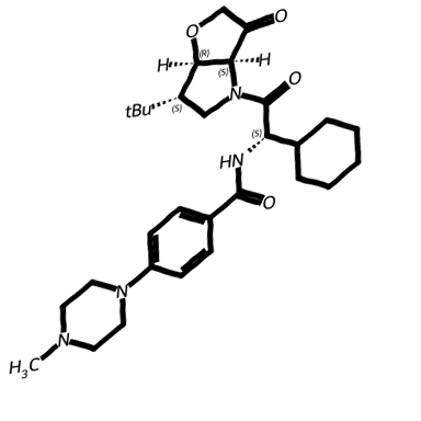 CN1CCN(c2ccc(C(=O)N[C@H](C(=O)N3C[C@H](C(C)(C)C)[C@H]4OCC(=O)[C@H]43)C3CCCCC3)cc2)CC1